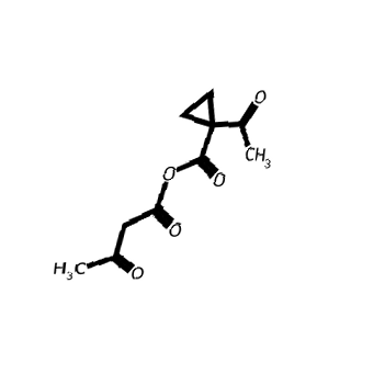 CC(=O)CC(=O)OC(=O)C1(C(C)=O)CC1